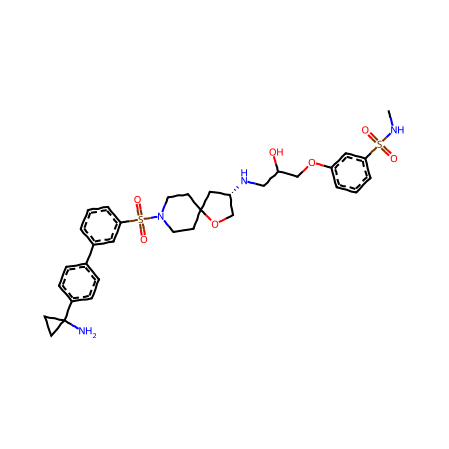 CNS(=O)(=O)c1cccc(OCC(O)CN[C@@H]2COC3(CCN(S(=O)(=O)c4cccc(-c5ccc(C6(N)CC6)cc5)c4)CC3)C2)c1